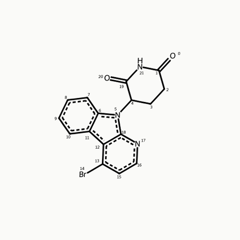 O=C1CCC(n2c3ccccc3c3c(Br)ccnc32)C(=O)N1